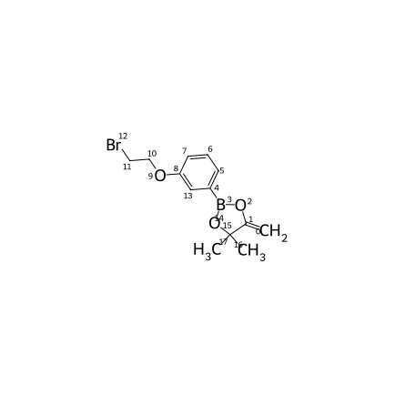 C=C1OB(c2cccc(OCCBr)c2)OC1(C)C